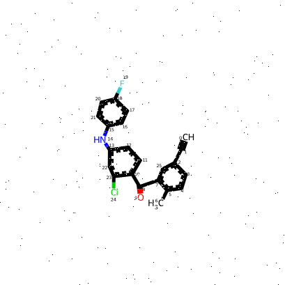 C#Cc1ccc(C)c(C(=O)c2ccc(Nc3ccc(F)cc3)cc2Cl)c1